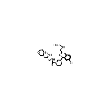 CCN[C@H](CNC(=O)N1CCC[C@@H]([C@@H](OCCNC(=O)O)c2cc(Cl)ccc2C)C1)C[C@H]1CCCOC1